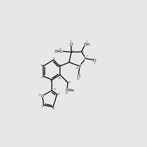 CCN1C(O)C(Cl)(C=O)C(c2cccc(-c3ccco3)c2COC)N1Cl